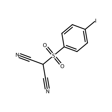 N#CC(C#N)S(=O)(=O)c1ccc(I)cc1